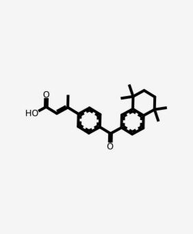 CC(=CC(=O)O)c1ccc(C(=O)c2ccc3c(c2)C(C)(C)CCC3(C)C)cc1